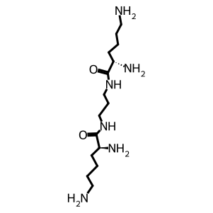 NCCCC[C@H](N)C(=O)NCCCNC(=O)[C@@H](N)CCCCN